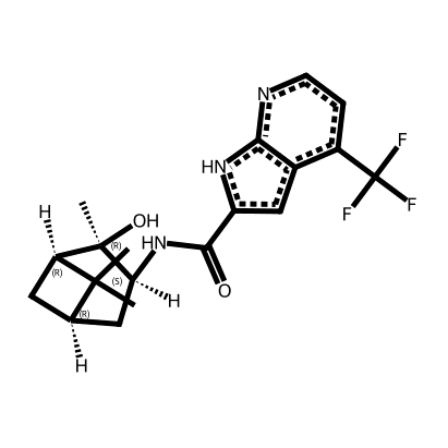 CC1(C)[C@H]2C[C@H](NC(=O)c3cc4c(C(F)(F)F)ccnc4[nH]3)[C@](C)(O)[C@@H]1C2